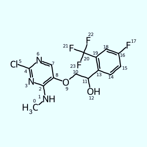 CNc1nc(Cl)ncc1OCC(O)c1ccc(F)cc1C(F)(F)F